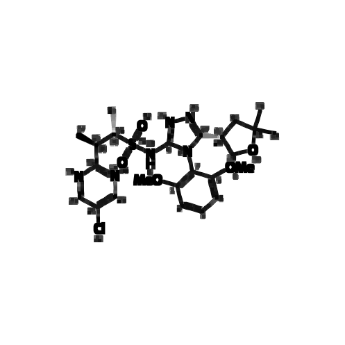 COc1cccc(OC)c1-n1c(NS(=O)(=O)[C@@H](C)[C@H](C)c2ncc(Cl)cn2)nnc1[C@H]1COC(C)(C)C1